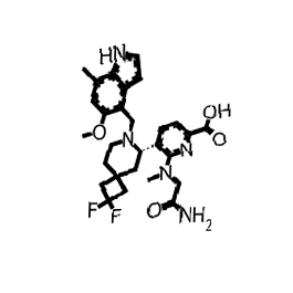 COc1cc(C)c2[nH]ccc2c1CN1CCC2(C[C@H]1c1ccc(C(=O)O)nc1N(C)CC(N)=O)CC(F)(F)C2